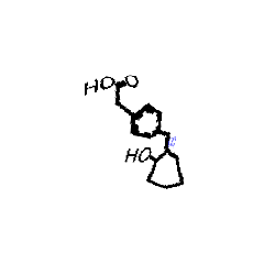 O=C(O)Cc1ccc(/C=C2/CCCCC2O)cc1